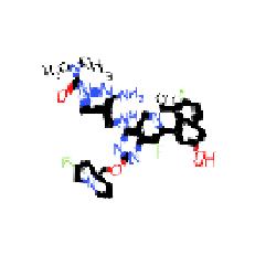 CCc1c(F)ccc2cc(O)cc(-c3ncc4c(NCc5cn(C(=O)N(C)C)nc5N)nc(OC[C@@]56CCCN5C[C@H](F)C6)nc4c3F)c12